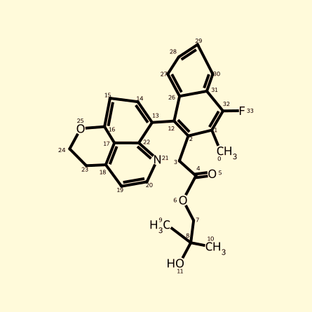 Cc1c(CC(=O)OCC(C)(C)O)c(-c2ccc3c4c(ccnc24)CCO3)c2ccccc2c1F